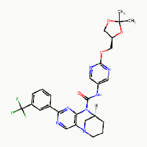 CC1(C)OC[C@H](COc2ncc(NC(=O)N3c4nc(-c5cccc(C(F)(F)F)c5)ncc4N4CCC[C@H]3C4)cn2)O1